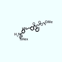 CCCCCCON=C(N)c1ccc(NCCc2cccc(C(=O)N(CCC(=O)OC[C@H](C)OC)c3ccccn3)c2)cc1